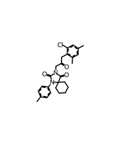 Cc1ccc(N2C(=O)N(CC(=O)Cc3c(C)cc(C)cc3Cl)C(=O)C23CCCCC3)cc1